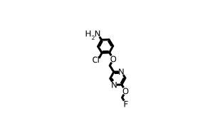 Nc1ccc(OCc2cnc(OCF)cn2)c(Cl)c1